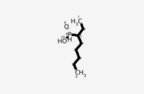 CCCCCC(CC)[PH](=O)O